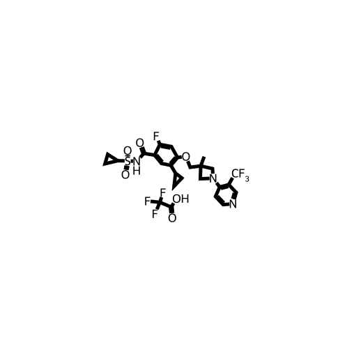 CC1(COc2cc(F)c(C(=O)NS(=O)(=O)C3CC3)cc2C2CC2)CN(c2ccncc2C(F)(F)F)C1.O=C(O)C(F)(F)F